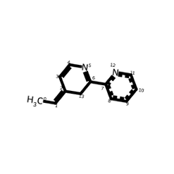 CC=C1C=CN=C(c2ccccn2)C1